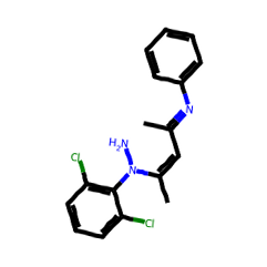 C/C(=C/C(C)=N/c1ccccc1)N(N)c1c(Cl)cccc1Cl